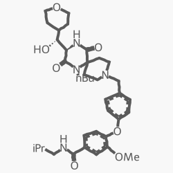 CCCCN1C(=O)[C@@H]([C@H](O)C2CCOCC2)NC(=O)C12CCN(Cc1ccc(Oc3ccc(C(=O)NCC(C)C)cc3OC)cc1)CC2